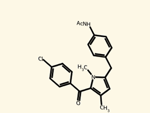 CC(=O)Nc1ccc(Cc2cc(C)c(C(=O)c3ccc(Cl)cc3)n2C)cc1